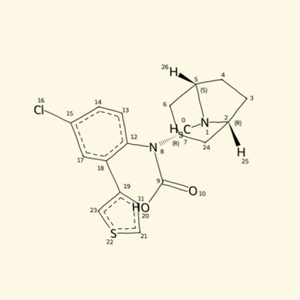 CN1[C@@H]2CC[C@H]1C[C@@H](N(C(=O)O)c1ccc(Cl)cc1-c1ccsc1)C2